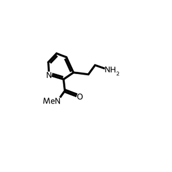 CNC(=O)c1ncccc1CCN